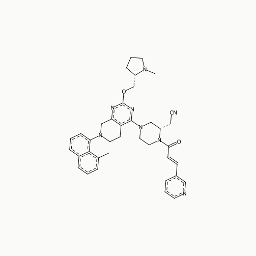 Cc1cccc2cccc(N3CCc4c(nc(OC[C@@H]5CCCN5C)nc4N4CCN(C(=O)/C=C/c5cccnc5)[C@@H](CC#N)C4)C3)c12